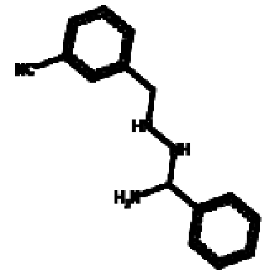 N#Cc1cccc(CNNC(N)c2ccccc2)c1